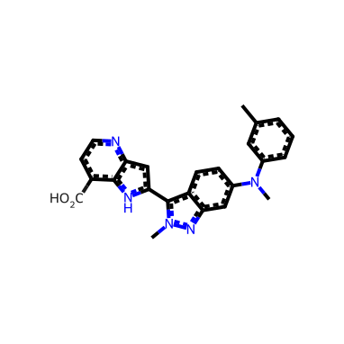 Cc1cccc(N(C)c2ccc3c(-c4cc5nccc(C(=O)O)c5[nH]4)n(C)nc3c2)c1